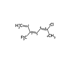 C=C/C(=C\C=C(/C)Cl)C(F)(F)F